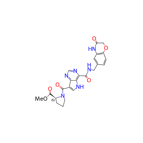 COC(=O)[C@@H]1CCCN1C(=O)c1c[nH]c2c(C(=O)NCc3ccc4c(c3)NC(=O)CO4)ncnc12